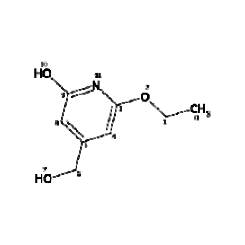 CCOc1cc(CO)cc(O)n1